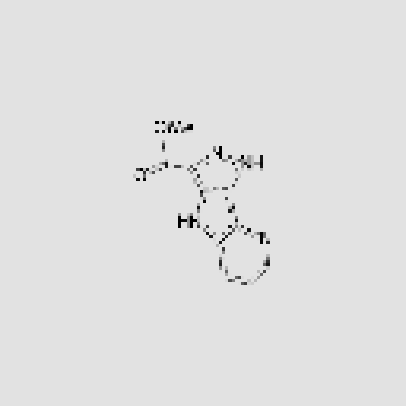 COC(=O)c1n[nH]c2c1[nH]c1cccnc12